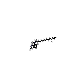 C=CCNCCCCCCCCCC/C(CC)=C(/C)c1c(C)ccc(C)c1/C(=C\C(=C)C)C(F)(F)F